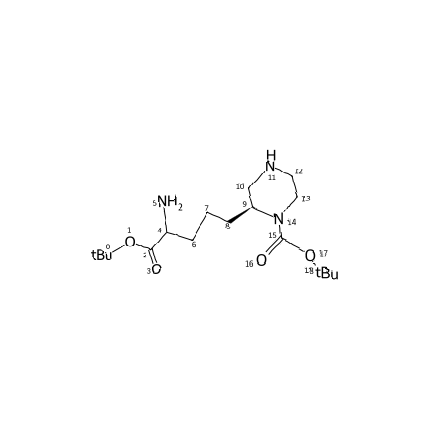 CC(C)(C)OC(=O)C(N)CCC[C@H]1CNCCN1C(=O)OC(C)(C)C